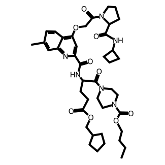 CCCCOC(=O)N1CCN(C(=O)C(CCC(=O)OCC2CCCC2)NC(=O)c2cc(OCC(=O)N3CCCC3C(=O)NC3CCC3)c3ccc(C)cc3n2)CC1